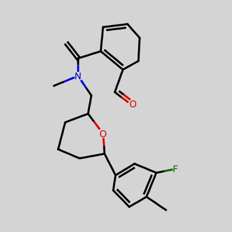 C=C(C1=C(C=O)CCC=C1)N(C)CC1CCCC(c2ccc(C)c(F)c2)O1